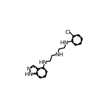 Clc1ccccc1NCCNCCNc1cccc2[nH]ncc12